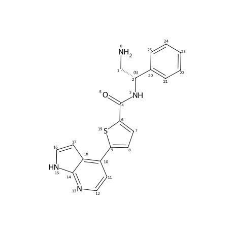 NC[C@@H](NC(=O)c1ccc(-c2ccnc3[nH]ccc23)s1)c1ccccc1